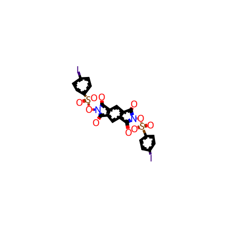 O=c1c2cc3c(=O)n(OS(=O)(=O)c4ccc(I)cc4)c(=O)c3cc2c(=O)n1OS(=O)(=O)c1ccc(I)cc1